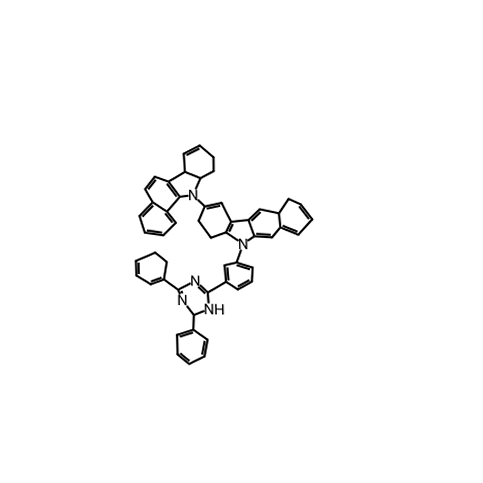 C1=CCCC(C2=NC(c3ccccc3)NC(c3cccc(-n4c5c(c6c4=CC4=CC=CCC4C=6)C=C(N4c6c(ccc7ccccc67)C6C=CCCC64)CC5)c3)=N2)=C1